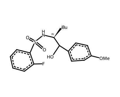 CCC(C)[C@H](NS(=O)(=O)c1ccccc1F)C(O)c1ccc(OC)cc1